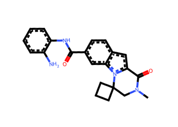 CN1CC2(CCC2)n2c(cc3ccc(C(=O)Nc4ccccc4N)cc32)C1=O